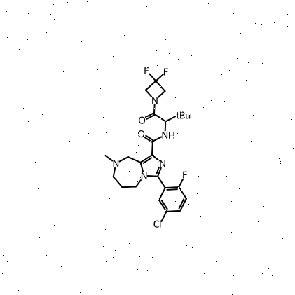 CN1CCCn2c(-c3cc(Cl)ccc3F)nc(C(=O)NC(C(=O)N3CC(F)(F)C3)C(C)(C)C)c2C1